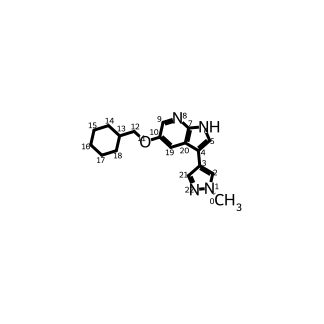 Cn1cc(-c2c[nH]c3ncc(OCC4CCCCC4)cc23)cn1